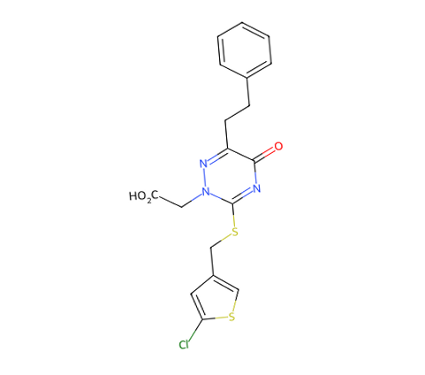 O=C(O)Cn1nc(CCc2ccccc2)c(=O)nc1SCc1csc(Cl)c1